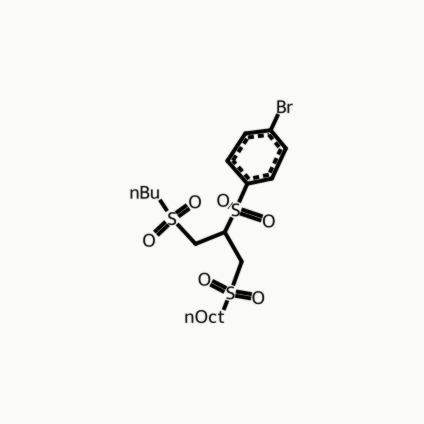 CCCCCCCCS(=O)(=O)CC(CS(=O)(=O)CCCC)S(=O)(=O)c1ccc(Br)cc1